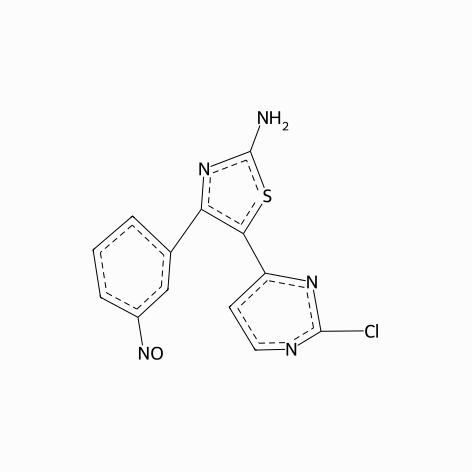 Nc1nc(-c2cccc(N=O)c2)c(-c2ccnc(Cl)n2)s1